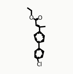 CCOC(=O)C=C(C)c1ccc(-c2ccc(Cl)cc2)cc1